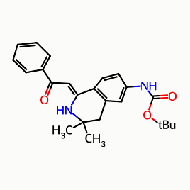 CC1(C)Cc2cc(NC(=O)OC(C)(C)C)ccc2C(=CC(=O)c2ccccc2)N1